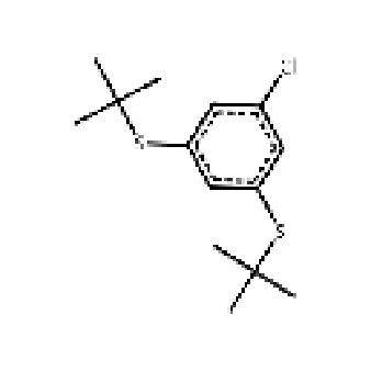 CC(C)(C)Sc1cc(Cl)cc(SC(C)(C)C)c1